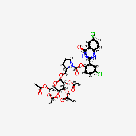 CC(=O)OC[C@H]1O[C@@H](OCC2CCCN2C(=O)Oc2ccc(Cl)cc2-c2nc3ccc(Cl)cc3c(=O)[nH]2)[C@H](OC(C)=O)[C@@H](OC(C)=O)[C@H]1OC(C)=O